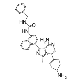 Cc1nc(-c2ccc(NC(=O)NCc3ccccc3)c3ccccc23)c2c(N)ncc(C3=CCC(N)CC3)n12